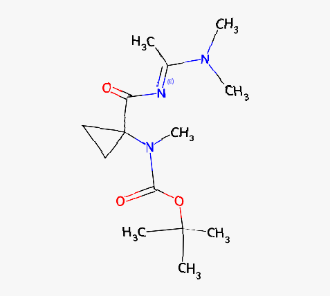 C/C(=N\C(=O)C1(N(C)C(=O)OC(C)(C)C)CC1)N(C)C